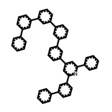 c1ccc(-c2cccc(-c3cccc(-c4cccc(-c5cccc(-c6cc(-c7ccccc7)nc(-c7cccc(-c8ccccc8)c7)c6)c5)c4)c3)c2)cc1